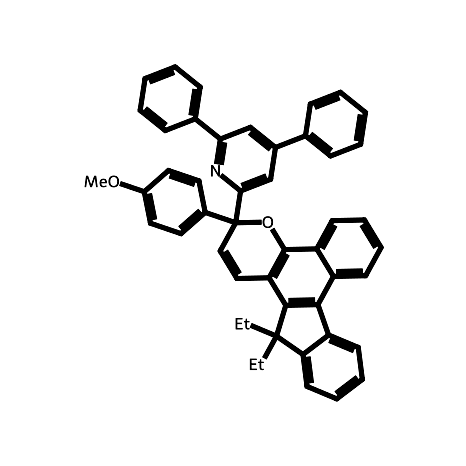 CCC1(CC)c2ccccc2-c2c1c1c(c3ccccc23)OC(c2ccc(OC)cc2)(c2cc(-c3ccccc3)cc(-c3ccccc3)n2)C=C1